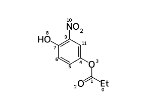 CCC(=O)Oc1ccc(O)c([N+](=O)[O-])c1